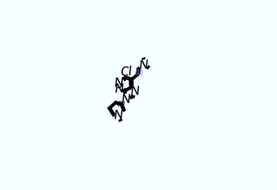 CN(C)/C=C/c1c(Cl)nnc2c1ncn2[C@@H]1CCCN(C)C1